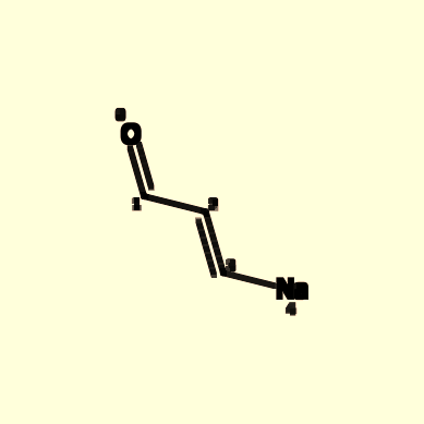 O=CC=[CH][Na]